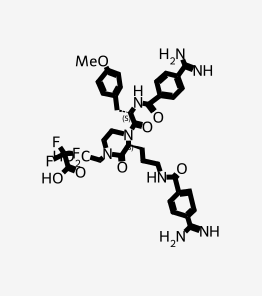 COc1ccc(C[C@H](NC(=O)c2ccc(C(=N)N)cc2)C(=O)N2CCN(CC(=O)O)C(=O)[C@@H]2CCCNC(=O)c2ccc(C(=N)N)cc2)cc1.O=C(O)C(F)(F)F